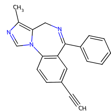 C#Cc1ccc2c(c1)C(c1ccccc1)=NCc1c(C)ncn1-2